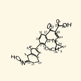 COc1c(-c2cc3c(s2)C/C(=N\O)CC3)ccc2c(=O)c(C(=O)O)cn(C3CC3)c12